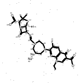 CCn1cc(C(=O)[O-])c(=O)c2cc(F)c(N3CCCN(C=N[C@H]4C(=O)N5[C@H]4SC(C)(C)[C@H]5C(=O)[O-])CC3)nc21.[Na+].[Na+]